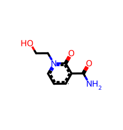 NC(=O)c1[c]ccn(CCO)c1=O